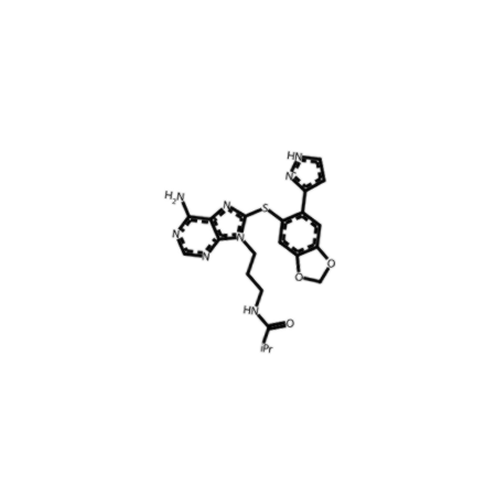 CC(C)C(=O)NCCCn1c(Sc2cc3c(cc2-c2cc[nH]n2)OCO3)nc2c(N)ncnc21